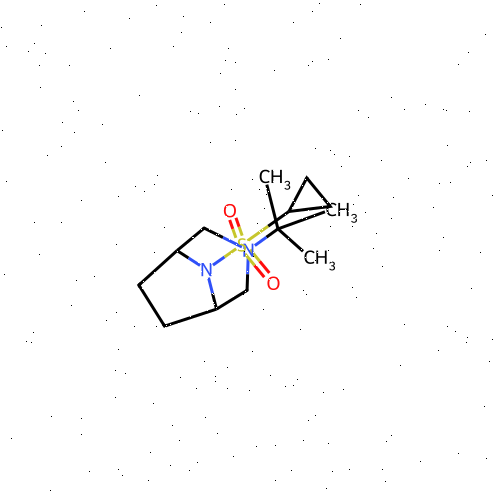 CC(C)(C)N1CC2CCC(C1)N2S(=O)(=O)C1CC1